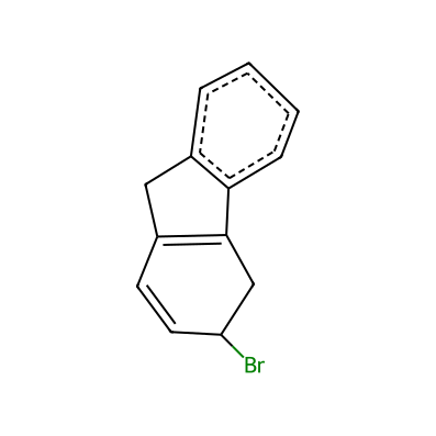 BrC1C=CC2=C(C1)c1ccccc1C2